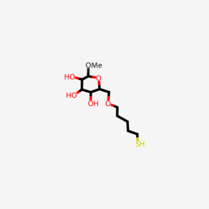 COC1OC(COCCCCCS)C(O)C(O)C1O